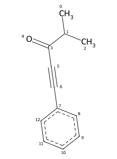 CC(C)C(=O)C#Cc1ccccc1